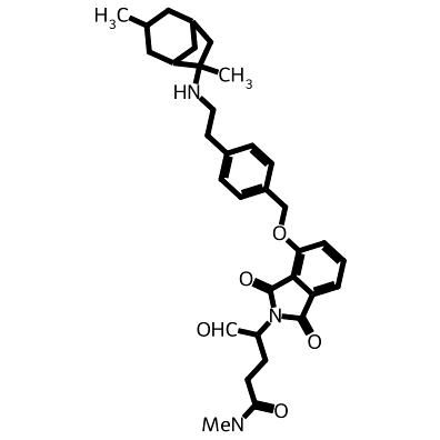 CNC(=O)CCC(C=O)N1C(=O)c2cccc(OCc3ccc(CCNC4(C)CC5CC(C)CC4C5)cc3)c2C1=O